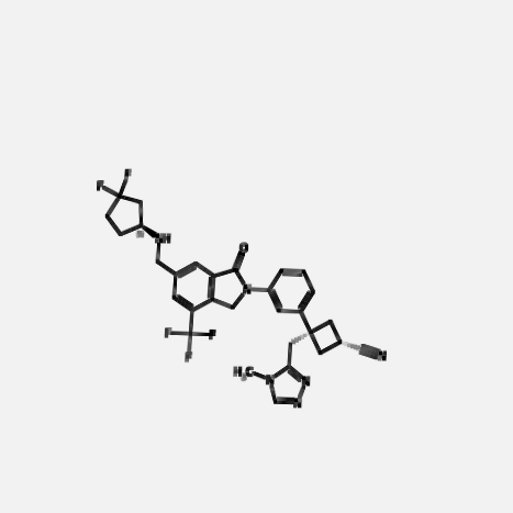 Cn1cnnc1C[C@]1(c2cccc(N3Cc4c(cc(CN[C@H]5CCC(F)(F)C5)cc4C(F)(F)F)C3=O)c2)C[C@H](C#N)C1